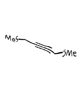 CSC#CSC